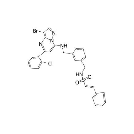 O=S(=O)(/C=C/c1ccccc1)NCc1cccc(CNc2cc(-c3ccccc3Cl)nc3c(Br)cnn23)c1